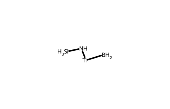 [BH2][Ti][NH][SiH3]